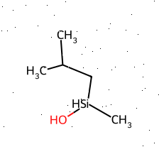 CC(C)C[SiH](C)O